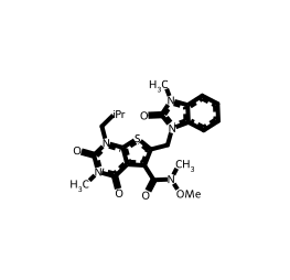 CON(C)C(=O)c1c(Cn2c(=O)n(C)c3ccccc32)sc2c1c(=O)n(C)c(=O)n2CC(C)C